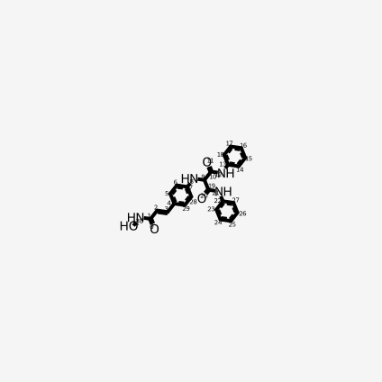 O=C(C=Cc1ccc(NC(C(=O)Nc2ccccc2)C(=O)Nc2ccccc2)cc1)NO